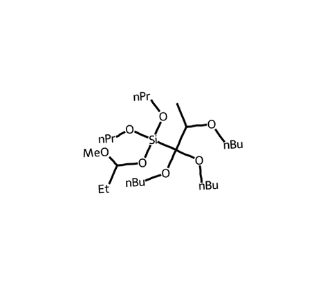 CCCCOC(C)C(OCCCC)(OCCCC)[Si](OCCC)(OCCC)OC(CC)OC